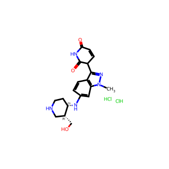 Cl.Cl.Cn1nc(C2C=CC(=O)NC2=O)c2ccc(N[C@H]3CCNC[C@H]3CO)cc21